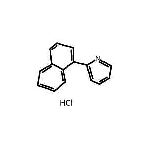 Cl.c1ccc(-c2cccc3ccccc23)nc1